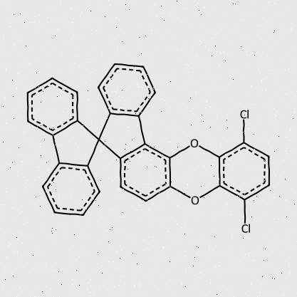 Clc1ccc(Cl)c2c1Oc1ccc3c(c1O2)-c1ccccc1C31c2ccccc2-c2ccccc21